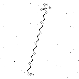 CCP(=O)(O)OCCOCCOCCOCCOCCOCCOC